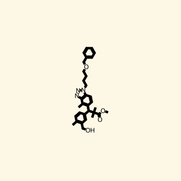 COC(=O)C(C)(C)C(c1ccc(C)c(CO)c1)c1ccc2c(nnn2CCCCOCc2ccccc2)c1C